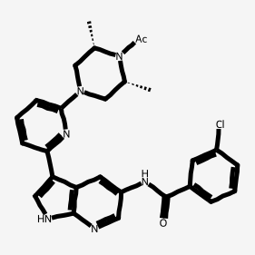 CC(=O)N1[C@H](C)CN(c2cccc(-c3c[nH]c4ncc(NC(=O)c5cccc(Cl)c5)cc34)n2)C[C@@H]1C